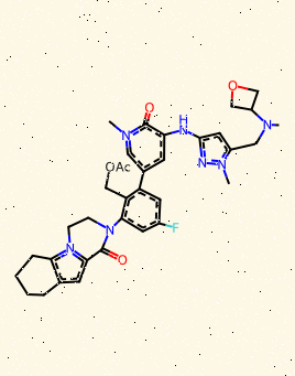 CC(=O)OCc1c(-c2cc(Nc3cc(CN(C)C4COC4)n(C)n3)c(=O)n(C)c2)cc(F)cc1N1CCn2c(cc3c2CCCC3)C1=O